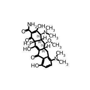 CO[C@@H]1[C@H]2[C@H](N(C)C)C(O)=C(C(N)=O)C(=O)[C@@]2(P)C(O)=C2C(=O)c3c(O)ccc(N(C)C)c3C[C@H]21